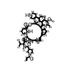 C=CC(=O)N1CCC(C(=O)N(C)[C@H](C(=O)N[C@H]2Cc3nc(cs3)-c3ccc4c(c3)c(c(-c3cc(C5=CCNCC5)cnc3[C@H](C)OC)n4CC)CC(C)(C)COC(=O)[C@@H]3CCCN(N3)C2=O)C(C)C)C1